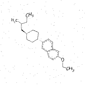 CCOc1ccc2cc([C@H]3CC[C@H](CC(C)CC)CC3)ccc2c1